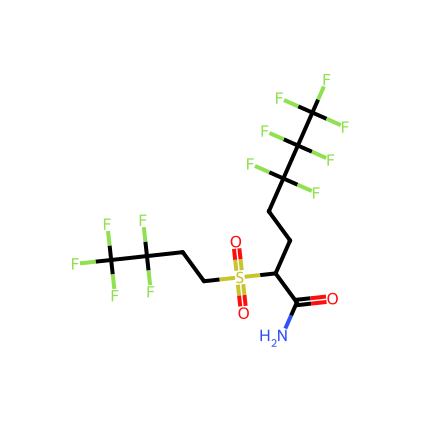 NC(=O)C(CCC(F)(F)C(F)(F)C(F)(F)F)S(=O)(=O)CCC(F)(F)C(F)(F)F